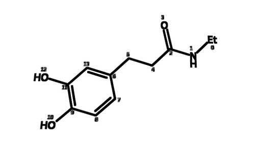 CCNC(=O)CCc1ccc(O)c(O)c1